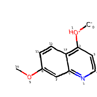 [CH2-][OH+]c1ccnc2cc(OC)ccc12